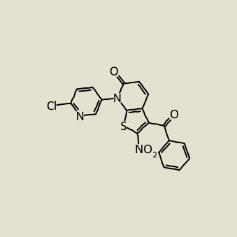 O=C(c1ccccc1)c1c([N+](=O)[O-])sc2c1ccc(=O)n2-c1ccc(Cl)nc1